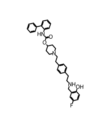 O=C(Nc1ccccc1-c1ccccc1)OC1CCN(CCc2ccc(CCNCc3cc(F)ccc3O)cc2)CC1